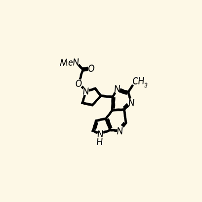 CNC(=O)ON1CCC(c2nc(C)nc3cnc4[nH]ccc4c23)C1